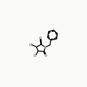 O=C1C(Cl)C(Cl)C(=O)N1Cc1ccccc1